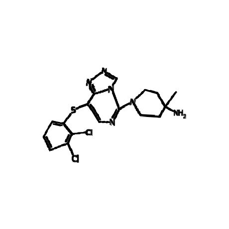 CC1(N)CCN(c2ncc(Sc3cccc(Cl)c3Cl)c3nncn23)CC1